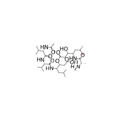 CC(=O)N[C@H](C(=O)N[C@H](C(=O)NC(CC(C)C)C(CC(=O)O)OC(=O)CC(O)C(CC(C)C)NC(=O)[C@H](C)N)C(C)C)C(C)C